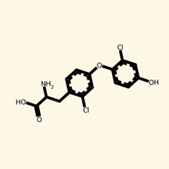 NC(Cc1ccc(Oc2ccc(O)cc2Cl)cc1Cl)C(=O)O